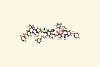 Cc1c(C)c(C#Cc2ccc3c(c2OCc2ccccc2)C(=O)N(c2ccc(Oc4ccccc4)cc2C2C=CC=C2)C3=O)c(C)c(C)c1C#Cc1ccc2c(c1OCc1ccccc1)C(=O)N(c1ccc(Oc3ccccc3)cc1C1=CCC=C1)C2=O